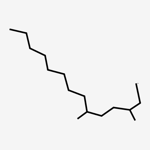 [CH2]CC(C)CCC(C)CCCCCCCC